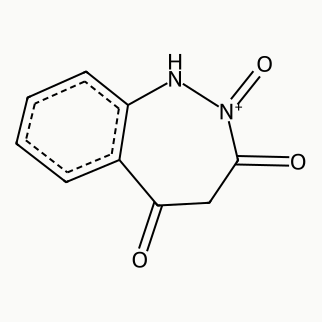 O=C1CC(=O)[N+](=O)Nc2ccccc21